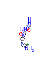 N[C@@H]1CCN(Cc2ccc(-n3ccc(NC(=O)N4CCNCC4)nc3=O)cc2)C[C@@H]1F